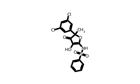 CC1(c2cc(Cl)cc(Cl)c2)OC(NS(=O)(=O)c2ccccc2)=C(O)C1=O